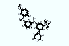 COc1ccc(C)c(N(C)c2ccnc(Nc3cc(N4CCOCC4)cc(S(C)(=O)=O)c3)n2)c1